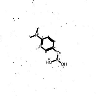 CN(C)c1ccc(OB(O)O)cn1